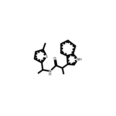 Cc1ccc(C(C)NC(=O)C(C)c2c[nH]c3ccccc23)s1